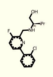 CC(C)[C@H](CO)NCc1nc(-c2ccccc2Cl)ccc1F